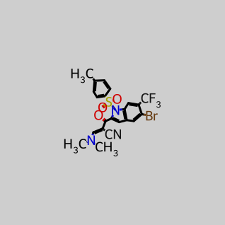 Cc1ccc(S(=O)(=O)n2c(C(=O)C(C#N)=CN(C)C)cc3cc(Br)c(C(F)(F)F)cc32)cc1